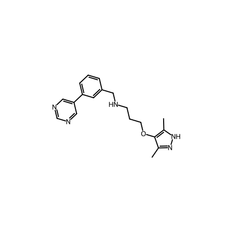 Cc1n[nH]c(C)c1OCCCNCc1cccc(-c2cncnc2)c1